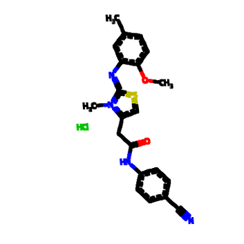 COc1ccc(C)cc1N=c1scc(CC(=O)Nc2ccc(C#N)cc2)n1C.Cl